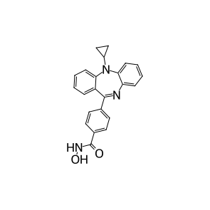 O=C(NO)c1ccc(C2=Nc3ccccc3N(C3CC3)c3ccccc32)cc1